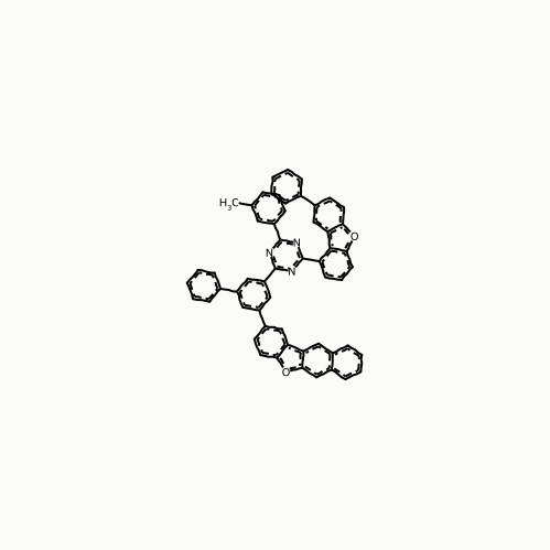 Cc1cccc(-c2nc(-c3cc(-c4ccccc4)cc(-c4ccc5oc6cc7ccccc7cc6c5c4)c3)nc(-c3cccc4oc5ccc(-c6ccccc6)cc5c34)n2)c1